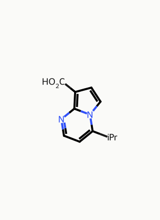 CC(C)c1ccnc2c(C(=O)O)ccn12